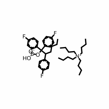 CCCCC(c1ccc(F)cc1)C(OB([O-])O)(c1ccc(F)cc1)c1ccc(F)cc1.CCCC[N+](CCCC)(CCCC)CCCC